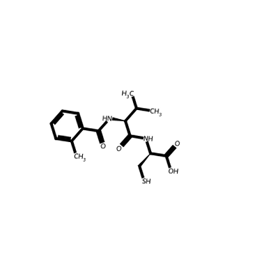 Cc1ccccc1C(=O)N[C@H](C(=O)N[C@H](CS)C(=O)O)C(C)C